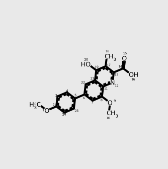 COc1ccc(-c2cc(OC)c3nc(C(=O)O)c(C)c(O)c3c2)cc1